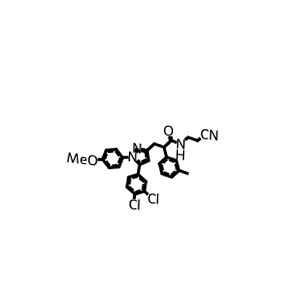 COc1ccc(-n2nc(CC(C(=O)NCCC#N)c3cccc(C)c3)cc2-c2ccc(Cl)c(Cl)c2)cc1